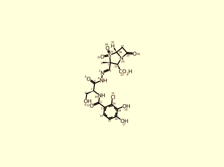 C[C@]1(/C=N/NC(=O)[C@H](CO)NC(=O)c2ccc(O)c(O)c2Cl)[C@H](C(=O)O)N2C(=O)C[C@H]2S1(=O)=O